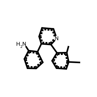 Cc1cccc(-c2ncccc2-c2ccccc2N)c1C